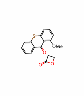 COc1cccc2sc3ccccc3c(=O)c12.O=C1CCO1